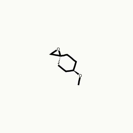 CO[C@H]1CC[C@]2(CC1)CO2